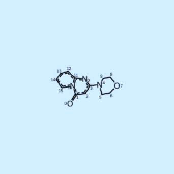 O=c1cc(N2CCOCC2)nc2ccccn12